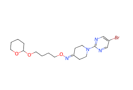 Brc1cnc(N2CCC(=NOCCCCOC3CCCCO3)CC2)nc1